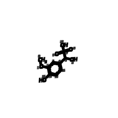 COc1cc(C(O)S(=O)(=O)O)ccc1O